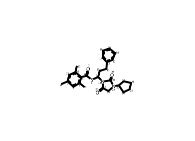 Cc1cc(C)c(C(=O)SC(CCc2ccccc2)N2C(=O)CN(C3CCCC3)C2=O)c(C)c1